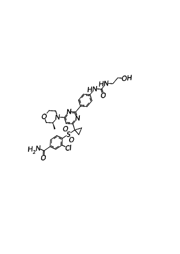 C[C@H]1COCCN1c1cc(C2(S(=O)(=O)c3ccc(C(N)=O)cc3Cl)CC2)nc(-c2ccc(NC(=O)NCCO)cc2)n1